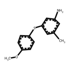 COc1ccc(Sc2cc(C)cc(N)c2)cc1